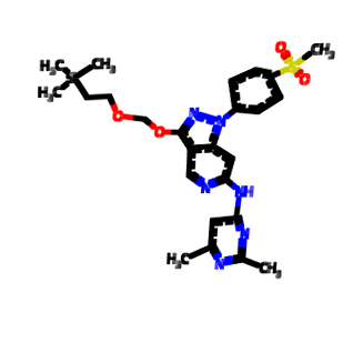 Cc1cc(Nc2cc3c(cn2)c(OCOCC[Si](C)(C)C)nn3-c2ccc(S(C)(=O)=O)cc2)nc(C)n1